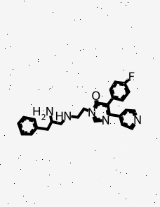 NC(CNCCn1cnc(-c2ccncc2)c(-c2ccc(F)cc2)c1=O)Cc1ccccc1